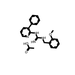 CC(=O)O.COc1ccccc1CNC(=N)Nc1ncccc1-c1ccccc1